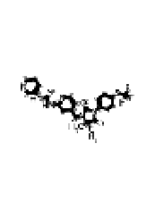 CC1(C)C(=O)N(c2ccc(SC(F)(F)F)cc2)C(=O)N1Cc1ccnc(NC(=S)Nc2cccnc2)c1